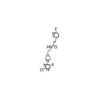 O=C(/C=C/c1ccc(F)nc1)NCCC1C2CN(c3nc(Cl)ncc3F)CC12